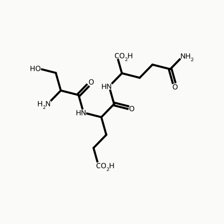 NC(=O)CCC(NC(=O)C(CCC(=O)O)NC(=O)C(N)CO)C(=O)O